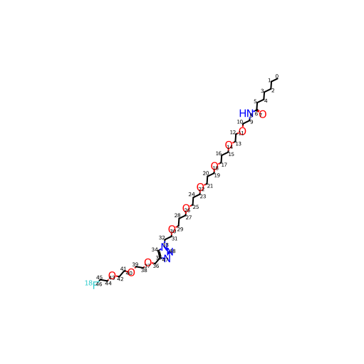 CCCCCCC(=O)NCCOCCOCCCOCCCOCCCOCCCOCCn1cc(COCCOCCOCC[18F])nn1